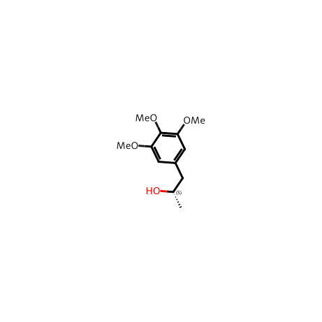 COc1cc(C[C@H](C)O)cc(OC)c1OC